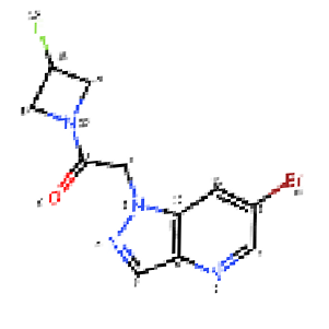 O=C(Cn1ncc2ncc(Br)cc21)N1CC(F)C1